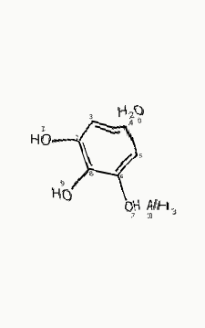 O.Oc1cccc(O)c1O.[AlH3]